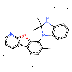 Cc1ccc2c(oc3ncccc32)c1N1c2ccccc2NC1(C)C